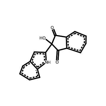 O=C1c2ccccc2C(=O)C1(O)c1cc2ccccc2[nH]1